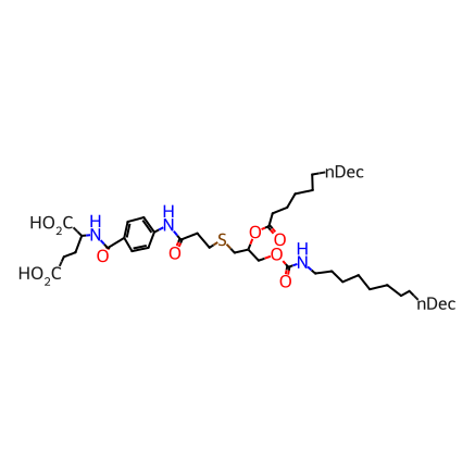 CCCCCCCCCCCCCCCCCCNC(=O)OCC(CSCCC(=O)Nc1ccc(C(=O)NC(CCC(=O)O)C(=O)O)cc1)OC(=O)CCCCCCCCCCCCCCC